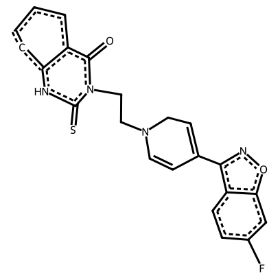 O=c1c2ccccc2[nH]c(=S)n1CCN1C=CC(c2noc3cc(F)ccc23)=CC1